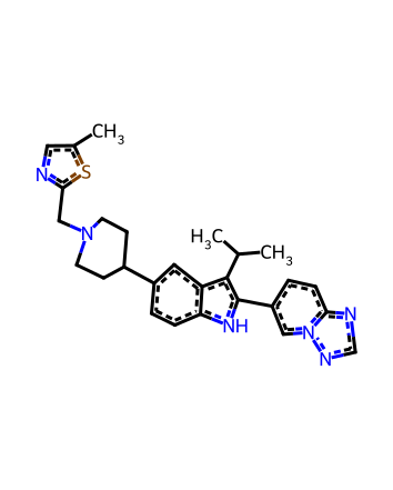 Cc1cnc(CN2CCC(c3ccc4[nH]c(-c5ccc6ncnn6c5)c(C(C)C)c4c3)CC2)s1